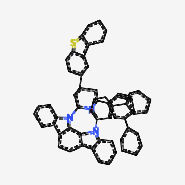 c1cc(-c2ccccc2)cc(-c2cc(-c3ccc4sc5ccccc5c4c3)cc(-n3c4ccccc4c4ccc5c6ccccc6n(C6=CCCC(c7ccccc7)=C6)c5c43)n2)c#1